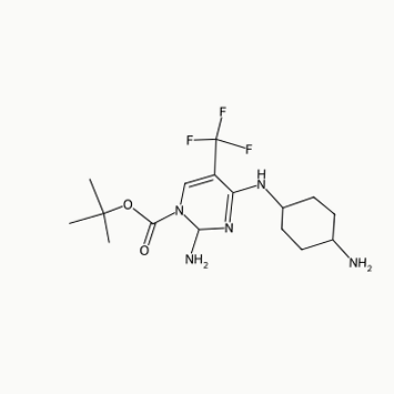 CC(C)(C)OC(=O)N1C=C(C(F)(F)F)C(NC2CCC(N)CC2)=NC1N